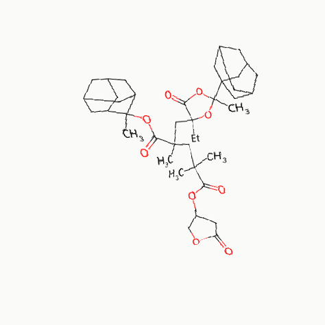 CCC1(CC(C)(CC(C)(C)C(=O)OC2COC(=O)C2)C(=O)OC2(C)C3CC4CC(C3)CC2C4)OC(C)(C23CC4CC(CC(C4)C2)C3)OC1=O